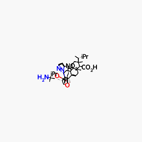 CC(C)[C@@H](C)[C@@]1(C)CC[C@]2(C)[C@H]3CC[C@H]4[C@]5(C)COC[C@]4(C3=CC[C@@]2(C)[C@@H]1C(=O)O)C(C)[C@@H](n1nccc1[N+](=O)[O-])[C@@H]5OC[C@](C)(N)C(C)C